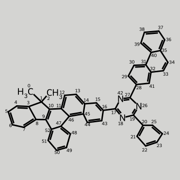 CC1(C)c2ccccc2-c2c1c1ccc3cc(-c4nc(-c5ccccc5)nc(-c5ccc6c(ccc7ccccc76)c5)n4)ccc3c1c1ccccc21